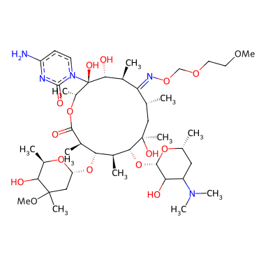 COCCOCO/N=C1\[C@H](C)C[C@@](C)(O)[C@H](O[C@@H]2O[C@H](C)CC(N(C)C)C2O)[C@@H](C)[C@H](O[C@@H]2CC(C)(OC)C(O)[C@@H](C)O2)[C@@H](C)C(=O)O[C@H](C)[C@](O)(n2ccc(N)nc2=O)[C@H](O)[C@H]1C